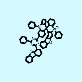 O=P1(c2ccccc2)c2ccccc2C2(c3ccccc3N(c3ccccc3)c3cc(-c4nc(-c5ccccc5)nc(-c5cccc6c5sc5ccccc56)n4)ccc32)c2cc3c(cc21)oc1ccccc13